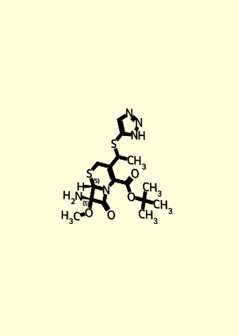 CO[C@@]1(N)C(=O)N2C(C(=O)OC(C)(C)C)=C(C(C)Sc3cnn[nH]3)CS[C@H]21